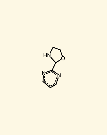 c1cnc(C2NCCO2)nc1